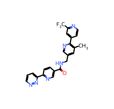 Cc1cc(CNC(=O)c2ccc(-c3cccnn3)nc2)cnc1-c1ccnc(C(F)(F)F)c1